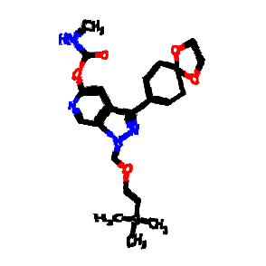 CNC(=O)Oc1cc2c(C3=CCC4(CC3)OCCO4)nn(COCC[Si](C)(C)C)c2cn1